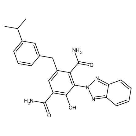 CC(C)c1cccc(Cc2cc(C(N)=O)c(O)c(-n3nc4ccccc4n3)c2C(N)=O)c1